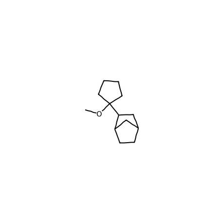 COC1(C2CC3CCC2C3)CCCC1